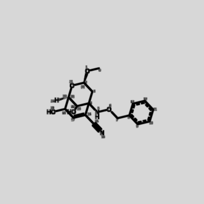 CO[C@H]1CC2(NOCc3ccccc3)C(C#N)=CC(O)[C@@H](O1)C2O